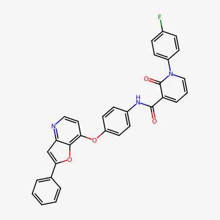 O=C(Nc1ccc(Oc2ccnc3cc(-c4ccccc4)oc23)cc1)c1cccn(-c2ccc(F)cc2)c1=O